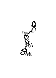 COc1ccc(CNc2ccc3nc(NCCOc4ccccc4)ccc3c2)cc1